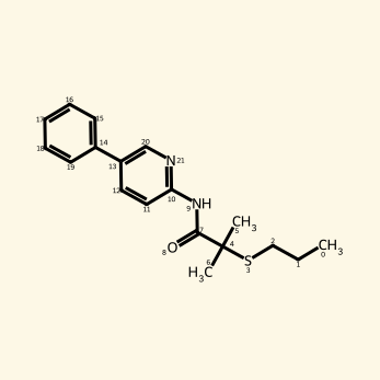 CCCSC(C)(C)C(=O)Nc1ccc(-c2ccccc2)cn1